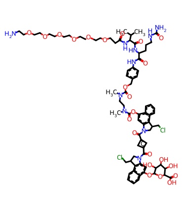 CC(C)C(NC(=O)CCOCCOCCOCCOCCOCCOCCN)C(=O)NC(CCCNC(N)=O)C(=O)Nc1ccc(COC(=O)N(C)CCN(C)C(=O)Oc2cc3c(c4ccccc24)C(CCl)CN3C(=O)C23CC(C(=O)N4CC(CCl)c5c4cc(OC4OC(C(=O)O)C(O)C(O)C4O)c4ccccc54)(C2)C3)cc1